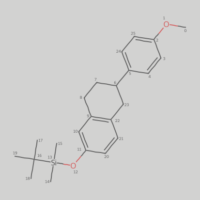 COc1ccc(C2CCc3cc(O[Si](C)(C)C(C)(C)C)ccc3C2)cc1